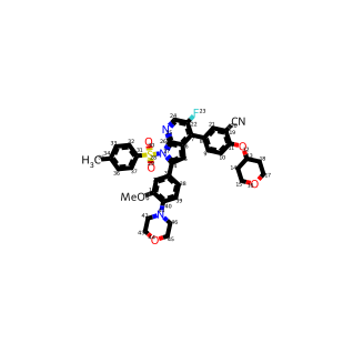 COc1cc(-c2cc3c(-c4ccc(OC5CCOCC5)c(C#N)c4)c(F)cnc3n2S(=O)(=O)c2ccc(C)cc2)ccc1N1CCOCC1